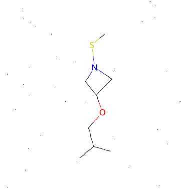 CSN1CC(OCC(C)C)C1